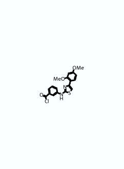 COc1ccc(-c2csc(Nc3cccc(C(=O)Cl)c3)n2)c(OC)c1